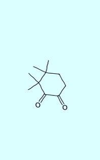 CC1(C)CCC(=O)C(=O)C1(C)C